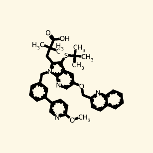 COc1ccc(-c2cccc(Cn3c(CC(C)(C)C(=O)O)c(SC(C)(C)C)c4cc(OCc5ccc6ccccc6n5)cnc43)c2)cn1